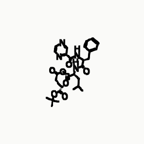 CC(C)C[C@H](NC(=O)[C@H](Cc1ccccc1)NC(=O)c1cnccn1)B1OC(=O)C[C@@H](C(=O)OC(C)(C)C)O1